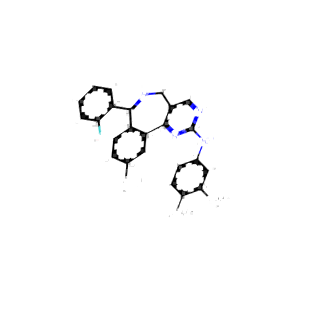 COc1ccc(Nc2ncc3c(n2)-c2cc(C(=O)O)ccc2C(c2ccccc2F)=NC3)cc1OC